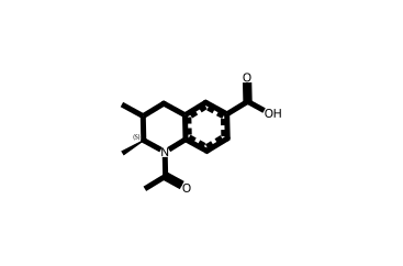 CC(=O)N1c2ccc(C(=O)O)cc2CC(C)[C@@H]1C